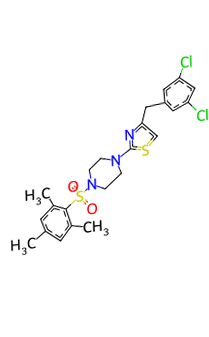 Cc1cc(C)c(S(=O)(=O)N2CCN(c3nc(Cc4cc(Cl)cc(Cl)c4)cs3)CC2)c(C)c1